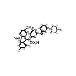 COc1ccc(OC)c(C(c2c(C)cc(C)cc2C)N(C(=O)O)c2ccnc(Nc3cccc(N4CCN(C)CC4)c3)n2)c1